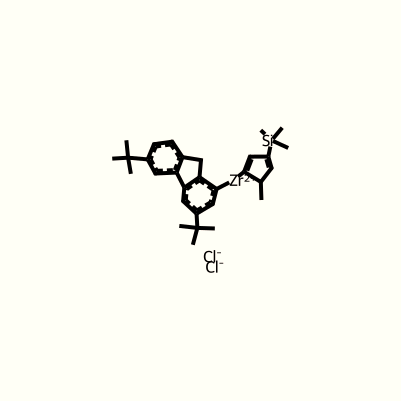 CC1C=C([Si](C)(C)C)C=[C]1[Zr+2][c]1cc(C(C)(C)C)cc2c1Cc1ccc(C(C)(C)C)cc1-2.[Cl-].[Cl-]